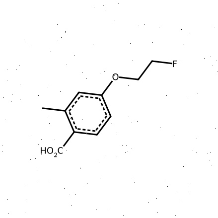 Cc1cc(OCCF)ccc1C(=O)O